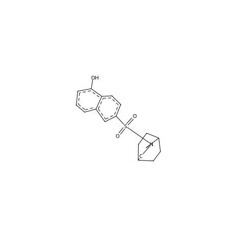 O=S(=O)(c1ccc2c(O)cccc2c1)N1CC2CCC(CC2)C1